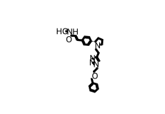 O=C(/C=C/c1ccc([C@@H]2CCCN2CCc2cn(CCOCc3ccccc3)nn2)cc1)NO